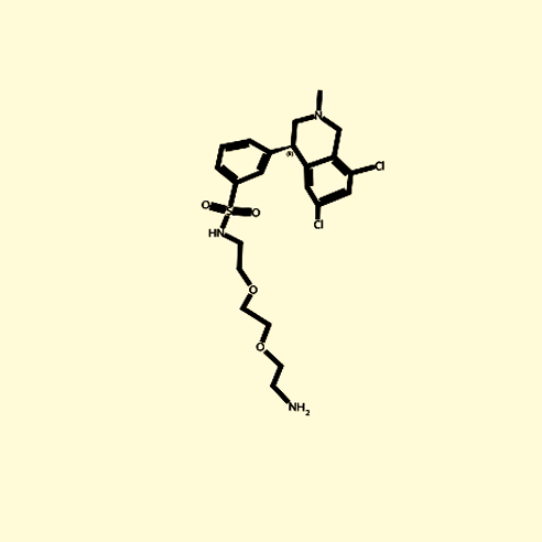 CN1Cc2c(Cl)cc(Cl)cc2[C@@H](c2cccc(S(=O)(=O)NCCOCCOCCN)c2)C1